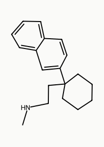 CNCCC1(c2ccc3ccccc3c2)CCCCC1